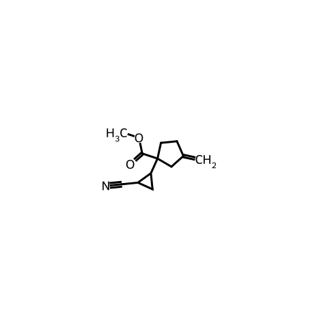 C=C1CCC(C(=O)OC)(C2CC2C#N)C1